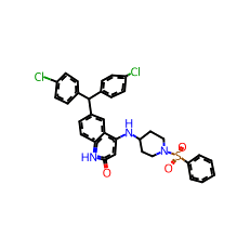 O=c1cc(NC2CCN(S(=O)(=O)c3ccccc3)CC2)c2cc(C(c3ccc(Cl)cc3)c3ccc(Cl)cc3)ccc2[nH]1